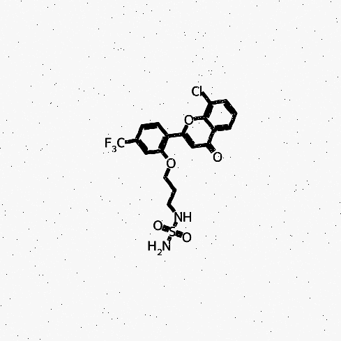 NS(=O)(=O)NCCCOc1cc(C(F)(F)F)ccc1-c1cc(=O)c2cccc(Cl)c2o1